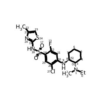 CCN(C)[C@H]1CCCC[C@@H]1Nc1cc(F)c(S(=O)(=O)Nc2nc(C)cs2)cc1Cl